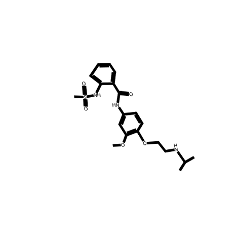 COc1cc(NC(=O)c2ccccc2NS(C)(=O)=O)ccc1OCCNC(C)C